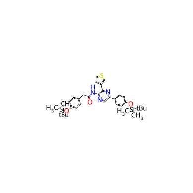 CC(C)(C)[Si](C)(C)Oc1ccc(CC(=O)Nc2ncc(-c3ccc(O[Si](C)(C)C(C)(C)C)cc3)nc2-c2ccsc2)cc1